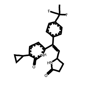 CC(F)(F)c1ccc(/C(=C/C2CCC(=O)N2)c2ccc(C3CC3)c(=O)[nH]2)cc1